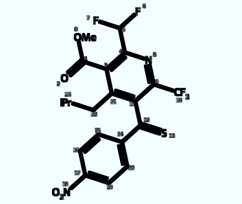 COC(=O)c1c(C(F)F)nc(C(F)(F)F)c(C(=S)c2ccc([N+](=O)[O-])cc2)c1CC(C)C